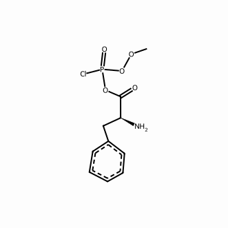 COOP(=O)(Cl)OC(=O)[C@@H](N)Cc1ccccc1